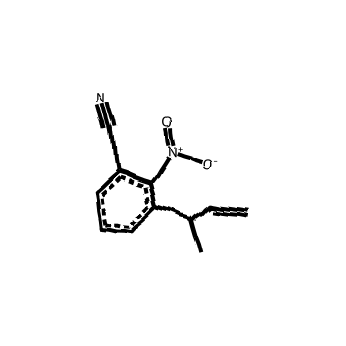 C=C[C](C)c1cccc(C#N)c1[N+](=O)[O-]